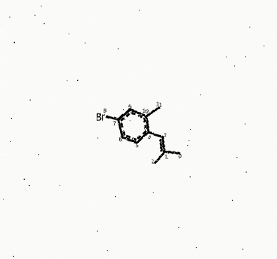 CC(C)=Cc1ccc(Br)cc1C